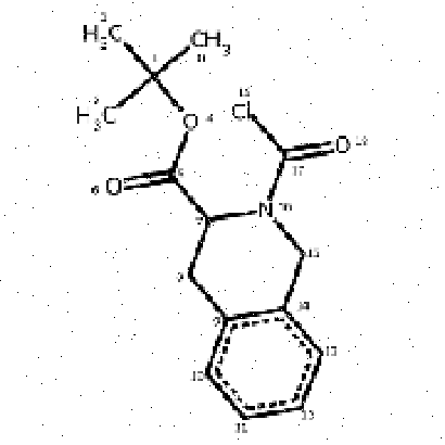 CC(C)(C)OC(=O)C1Cc2ccccc2CN1C(=O)Cl